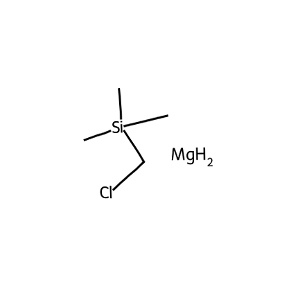 C[Si](C)(C)CCl.[MgH2]